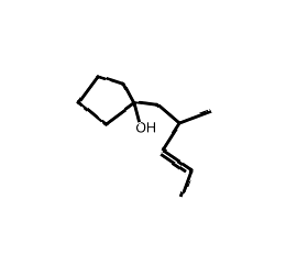 C/C=C/C(C)CC1(O)CCCC1